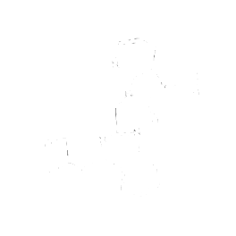 O=c1n(Cc2nc(OC3CCOC3)c3ccccc3n2)c2ncccc2n1C1CC1